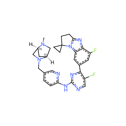 CN1C[C@@H]2C[C@H]1CN2Cc1ccc(Nc2ncc(F)c(-c3cc(F)c4nc5n(c4c3)C3(CC5)CC3)n2)nc1